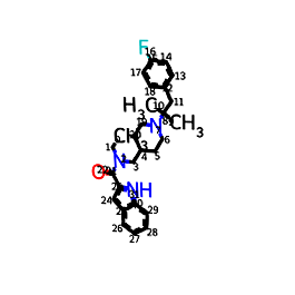 CCN(CC1CCN(C(C)(C)Cc2ccc(F)cc2)CC1)C(=O)c1cc2ccccc2[nH]1